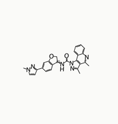 Cc1nc2ccccc2c2c1c(C)nn2C(=O)N[C@@H]1COc2cc(-c3ccn(C)n3)ccc21